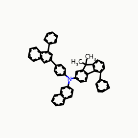 CC1(C)c2cc(N(c3ccc(-c4cc(-c5ccccc5)c5ccccc5c4)cc3)c3ccc4ccccc4c3)ccc2-c2c(-c3ccccc3)cccc21